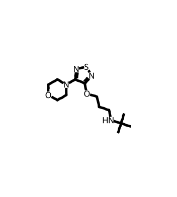 CC(C)(C)NCCCOc1nsnc1N1CCOCC1